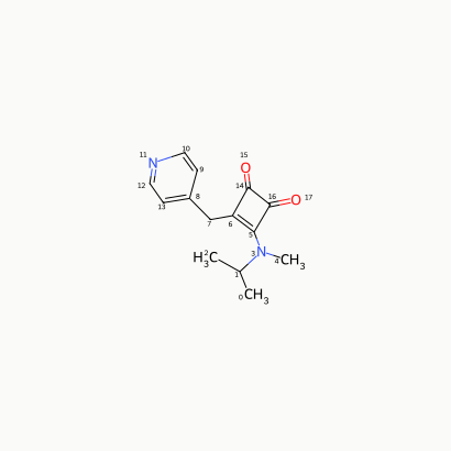 CC(C)N(C)c1c(Cc2ccncc2)c(=O)c1=O